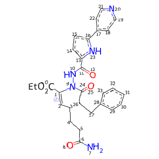 CCOC(=O)/C(=C/CCCC(N)=O)N(NC(=O)c1ccc(-c2ccncc2)[nH]1)C(=O)CCc1ccccc1